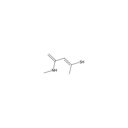 C=C(/C=C(\C)S)NC